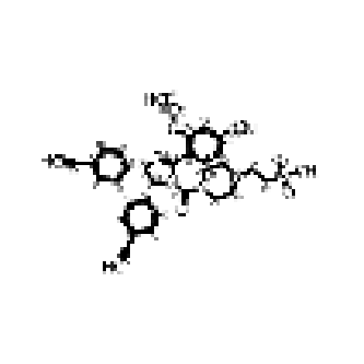 C#Cc1ccc([C@@H]2[C@H](c3ccc(C#C)cc3)N=C(c3ccc(C(C)(C)C)cc3OCC)N2C(=O)N2CCN(CCS(C)(=O)=O)CC2)cc1.Cl